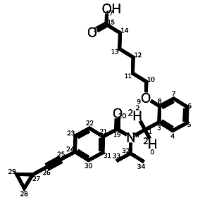 [2H]C([2H])(c1ccccc1OCCCCCC(=O)O)N(C(=O)c1ccc(C#CC2CC2)cc1)C(C)C